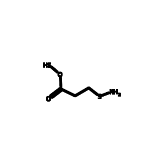 NSCCC(=O)OS